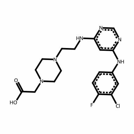 O=C(O)CN1CCN(CCNc2cc(Nc3ccc(F)c(Cl)c3)ncn2)CC1